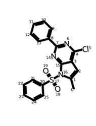 Cc1cc2c(Cl)nc(-c3ccccc3)nc2n1S(=O)(=O)c1ccccc1